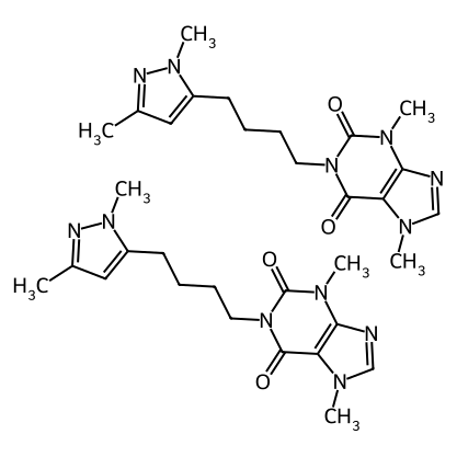 Cc1cc(CCCCn2c(=O)c3c(ncn3C)n(C)c2=O)n(C)n1.Cc1cc(CCCCn2c(=O)c3c(ncn3C)n(C)c2=O)n(C)n1